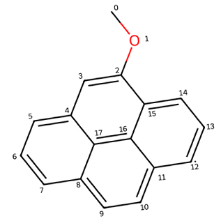 COc1cc2cccc3ccc4[c]ccc1c4c32